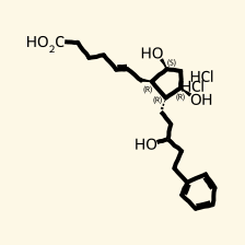 Cl.Cl.O=C(O)CCCC=CC[C@@H]1[C@@H](CCC(O)CCc2ccccc2)[C@H](O)C[C@@H]1O